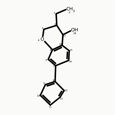 CCC1COc2cc(-c3ccccc3)ccc2C1O